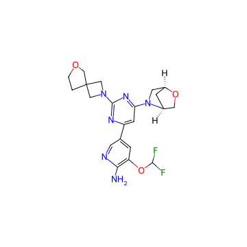 Nc1ncc(-c2cc(N3C[C@@H]4C[C@H]3CO4)nc(N3CC4(CCOC4)C3)n2)cc1OC(F)F